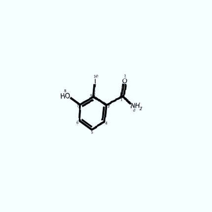 NC(=O)c1cccc(O)c1I